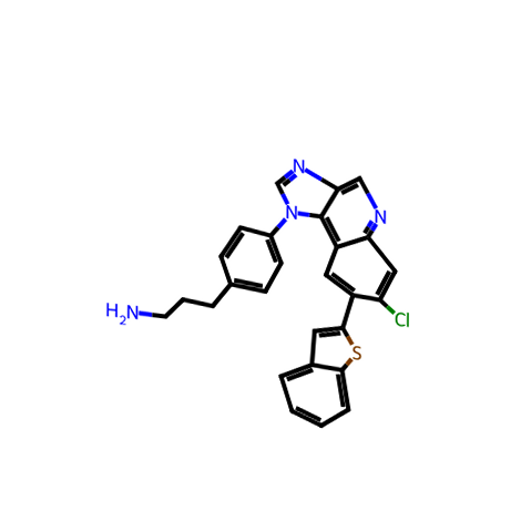 NCCCc1ccc(-n2cnc3cnc4cc(Cl)c(-c5cc6ccccc6s5)cc4c32)cc1